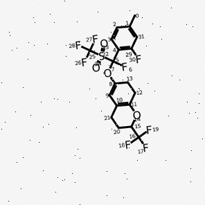 Cc1ccc(C(F)(OC2=CC3=C(CC2)OC(C(F)(F)F)CC3)S(=O)(=O)C(F)(F)F)c(F)c1